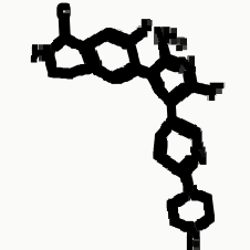 Nc1nc(F)c(-c2ccc(N3CCNCC3)nc2)cc1-c1cc2c(cc1F)C(=O)NCC2